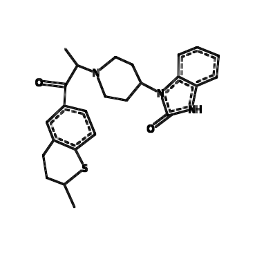 CC1CCc2cc(C(=O)C(C)N3CCC(n4c(=O)[nH]c5ccccc54)CC3)ccc2S1